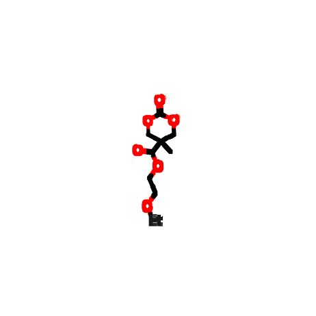 CCOCCOC(=O)C1(C)COC(=O)OC1